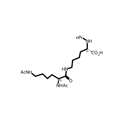 CCCN[C@@H](CCCCNC(=O)[C@H](CCCCNC(C)=O)NC(C)=O)C(=O)O